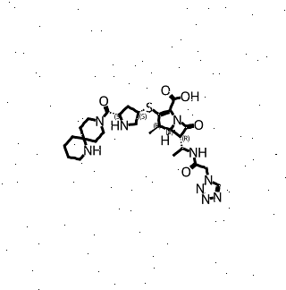 CC(NC(=O)Cn1cnnn1)[C@H]1C(=O)N2C(C(=O)O)=C(S[C@@H]3CN[C@H](C(=O)N4CCC5(CCCCN5)CC4)C3)[C@H](C)[C@H]12